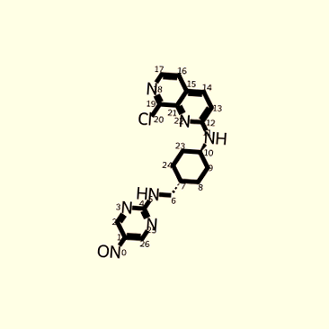 O=Nc1cnc(NC[C@H]2CC[C@H](Nc3ccc4ccnc(Cl)c4n3)CC2)nc1